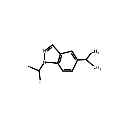 CC(C)c1ccc2c(cnn2C(F)F)c1